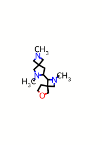 CN1CC2(CC(C3N(C)CC34CCOC4)N(C)C2)C1